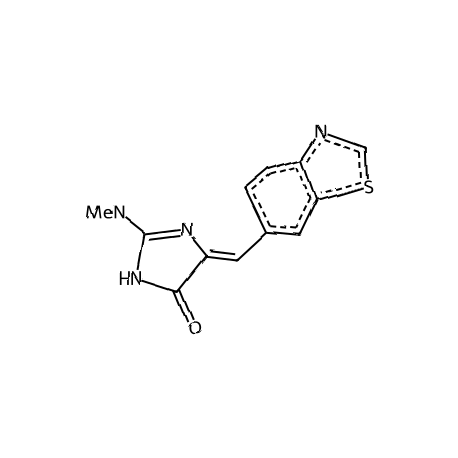 CNC1=N/C(=C\c2ccc3ncsc3c2)C(=O)N1